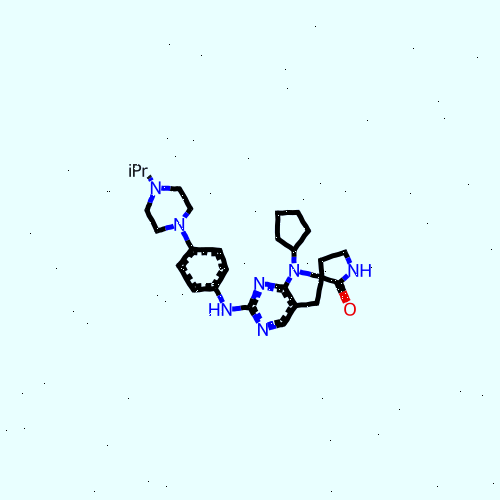 CC(C)N1CCN(c2ccc(Nc3ncc4c(n3)N(C3CCCC3)C3(CCNC3=O)C4)cc2)CC1